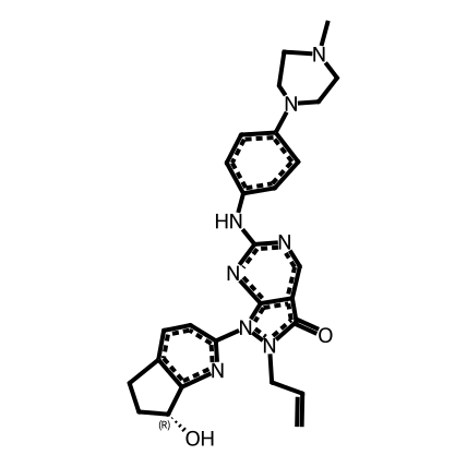 C=CCn1c(=O)c2cnc(Nc3ccc(N4CCN(C)CC4)cc3)nc2n1-c1ccc2c(n1)[C@H](O)CC2